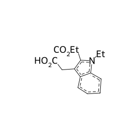 CCOC(=O)c1c(CC(=O)O)c2ccccc2n1CC